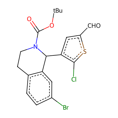 CC(C)(C)OC(=O)N1CCc2ccc(Br)cc2C1c1cc(C=O)sc1Cl